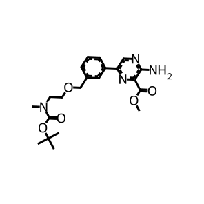 COC(=O)c1nc(-c2cccc(COCCN(C)C(=O)OC(C)(C)C)c2)cnc1N